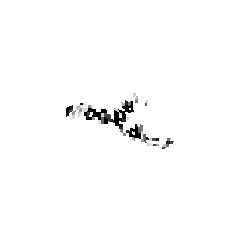 O=C(O)COc1ccc(OCC=C(c2ccc(-c3ccc(OC(F)(F)F)cc3)cc2)c2ccc(-c3ccc(OC(F)(F)F)cc3)cc2)cc1Cl